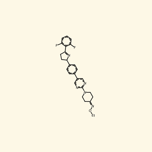 CCON=C1CCN(c2ncc(-c3ccc(C4CCC(c5c(F)cccc5F)=N4)cc3)cn2)CC1